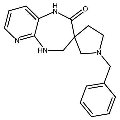 O=C1Nc2cccnc2NCC12CCN(Cc1ccccc1)C2